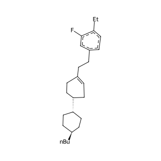 CCCC[C@H]1CC[C@H](C2CC=C(CCc3ccc(CC)c(F)c3)CC2)CC1